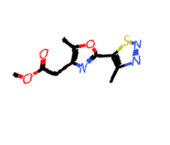 COC(=O)Cc1nc(-c2snnc2C)oc1C